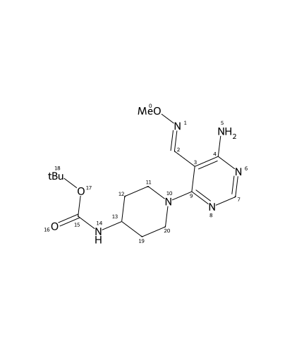 CON=Cc1c(N)ncnc1N1CCC(NC(=O)OC(C)(C)C)CC1